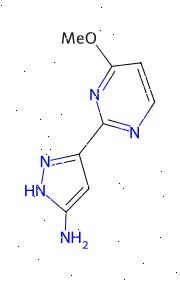 COc1ccnc(-c2cc(N)[nH]n2)n1